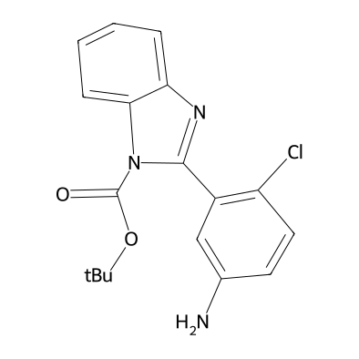 CC(C)(C)OC(=O)n1c(-c2cc(N)ccc2Cl)nc2ccccc21